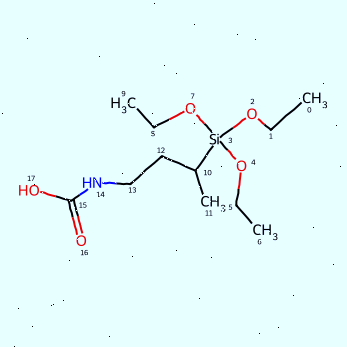 CCO[Si](OCC)(OCC)C(C)CCNC(=O)O